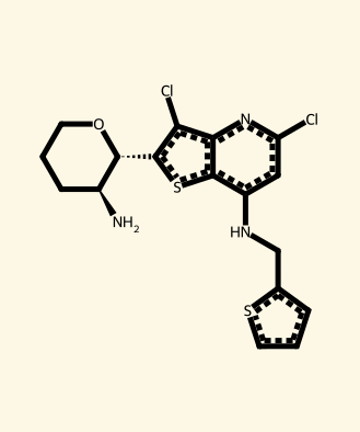 N[C@H]1CCCO[C@@H]1c1sc2c(NCc3cccs3)cc(Cl)nc2c1Cl